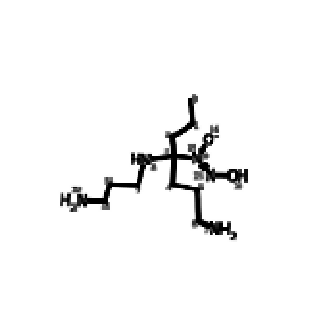 CCCC(CCCN)(NCCCN)[N+]([O-])=NO